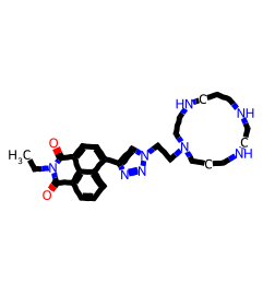 CCN1C(=O)c2cccc3c(-c4cn(CCN5CCCNCCNCCCNCC5)nn4)ccc(c23)C1=O